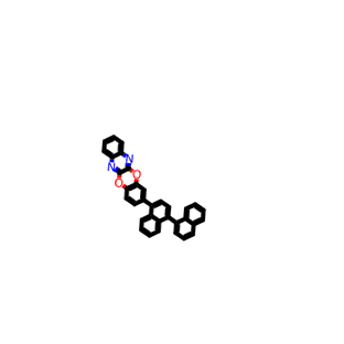 c1ccc2c(-c3ccc(-c4ccc5c(c4)Oc4nc6ccccc6nc4O5)c4ccccc34)cccc2c1